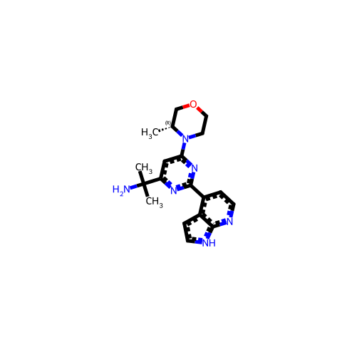 C[C@@H]1COCCN1c1cc(C(C)(C)N)nc(-c2ccnc3[nH]ccc23)n1